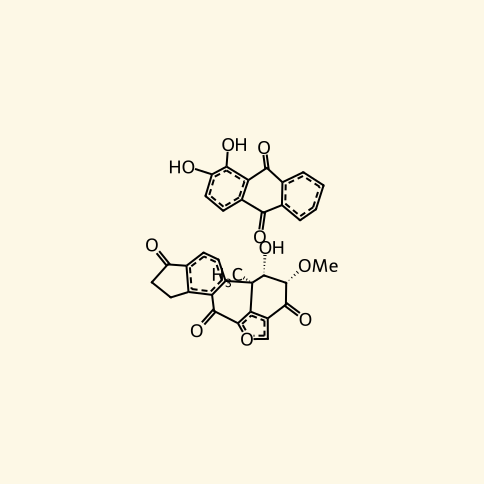 CO[C@@H]1C(=O)c2coc3c2[C@@](C)(c2ccc4c(c2C3=O)CCC4=O)[C@@H]1O.O=C1c2ccccc2C(=O)c2c1ccc(O)c2O